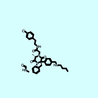 CCCCNCc1ccc([C@@]2(Cc3ccccc3)C(=O)N(CC(=O)NCCc3ccc(Cl)cc3)[C@@H](C)C(=O)N2C)cc1.CNC=O